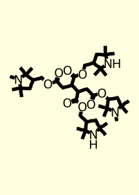 CN1C(C)(C)CC(COC(=O)CC(C(=O)OCC2CC(C)(C)NC2(C)C)C(CC(=O)OC2CC(C)(C)N(C)C2(C)C)C(=O)OCC2CC(C)(C)NC2(C)C)C1(C)C